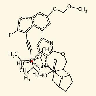 COCOc1cc(-c2cc3c4c(n2)OCC2C5CCC(CN2c4nn3C)N5C(=O)O)c2c(C#C[Si](C(C)C)(C(C)C)C(C)C)c(F)ccc2c1